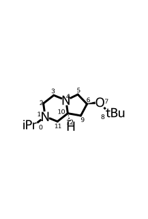 CC(C)N1CCN2C[C@@H](OC(C)(C)C)C[C@H]2C1